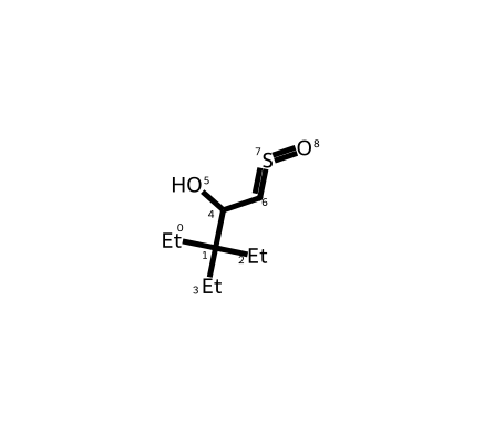 CCC(CC)(CC)C(O)C=S=O